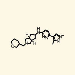 Cc1nn(C)cc1-c1ccc(NC2C[C@@H]3CN(CC4CCCOC4)C[C@@H]3C2)nn1